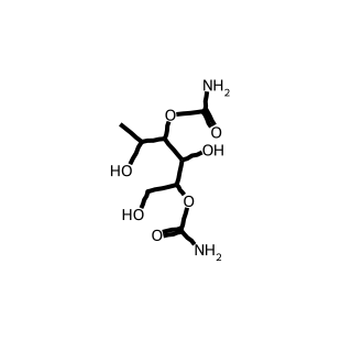 CC(O)C(OC(N)=O)C(O)C(CO)OC(N)=O